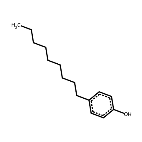 [CH2]CCCCCCCCc1ccc(O)cc1